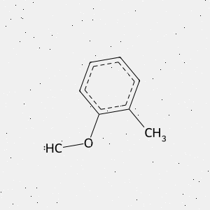 [CH]Oc1ccccc1C